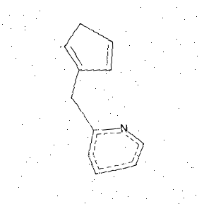 [C]1=C(Cc2ccccn2)C=CC1